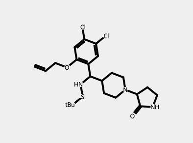 C=CCOc1cc(Cl)c(Cl)cc1C(NSC(C)(C)C)C1CCN(C2CCNC2=O)CC1